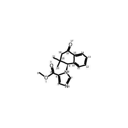 COC(=O)c1cncn1[C@@H]1c2ccccc2C(=O)CC1(C)C